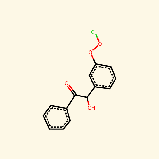 O=C(c1ccccc1)C(O)c1cccc(OOCl)c1